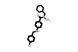 CN(CC1CCCCC1)C(=O)c1ccc(NCc2ccc(Cl)cc2)cc1